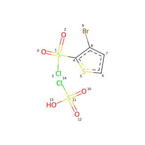 O=S(=O)(Cl)c1sccc1Br.O=S(=O)(O)Cl